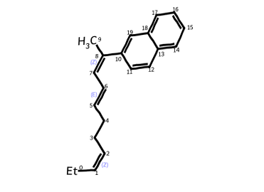 CC/C=C\CC/C=C/C=C(/C)c1ccc2ccccc2c1